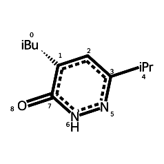 CC[C@@H](C)c1cc(C(C)C)n[nH]c1=O